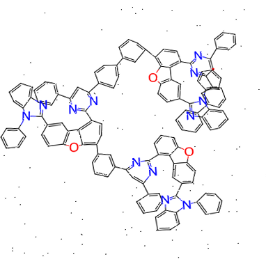 c1ccc(-c2cccc(-c3cc(-c4ccccc4)nc(-c4ccc(-c5cccc(-c6ccc(-c7cc(-c8ccccc8)nc(-c8ccc(-c9cccc(-c%10cc(-c%11ccccc%11)nc(-c%11cccc%12oc%13ccc(-c%14nc%15ccccc%15n%14-c%14ccccc%14)cc%13c%11%12)n%10)c9)c9oc%10ccc(-c%11nc%12ccccc%12n%11-c%11ccccc%11)cc%10c89)n7)cc6)c5)c5oc6ccc(-c7nc8ccccc8n7-c7ccccc7)cc6c45)n3)c2)cc1